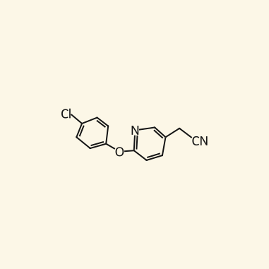 N#CCc1ccc(Oc2ccc(Cl)cc2)nc1